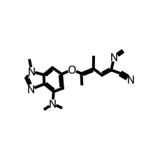 C=N/C(C#N)=C\C(C)=C(/C)Oc1cc(N(C)C)c2ncn(C)c2c1